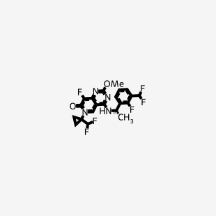 COc1nc(N[C@H](C)c2cccc(C(F)F)c2F)c2cn(C3(C(F)F)CC3)c(=O)c(F)c2n1